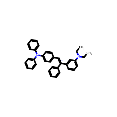 CCN(CC)c1cccc(/C(=C/c2ccc(N(c3ccccc3)c3ccccc3)cc2)c2ccccc2)c1